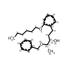 CCCCCCOc1ccccc1CC[C@H](O)[C@H](C)OCc1ccccc1